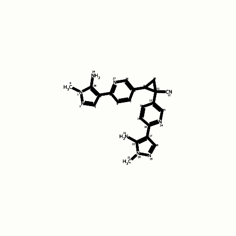 Cn1ncc(-c2ccc(C3CC3(C#N)c3ccc(-c4cnn(C)c4N)nc3)cn2)c1N